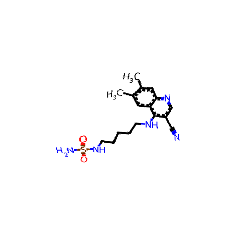 Cc1cc2ncc(C#N)c(NCCCCCNS(N)(=O)=O)c2cc1C